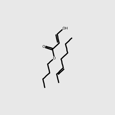 CC=CCCCC.CCCCOC(=O)C=CO